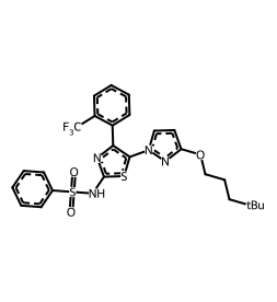 CC(C)(C)CCCOc1ccn(-c2sc(NS(=O)(=O)c3ccccc3)nc2-c2ccccc2C(F)(F)F)n1